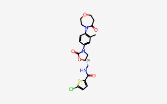 Cc1cc(N2C[C@H](CNC(=O)c3ccc(Cl)s3)OC2=O)ccc1N1CCOCCC1=O